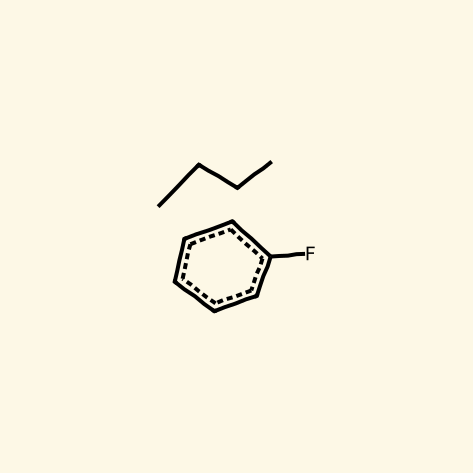 CCCC.Fc1ccccc1